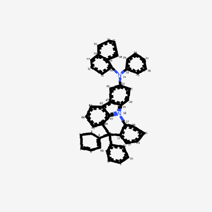 C1=CCCC(C2(c3ccccc3)c3ccccc3-n3c4ccc(N(c5ccccc5)c5cccc6ccccc56)cc4c4cccc2c43)=C1